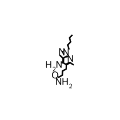 CCCCCn1ncc2c(N)c(CCCC(N)=O)c(C)nc21